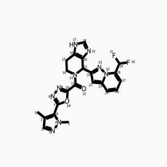 Cc1cnn(C)c1-c1nnc(C(=O)N2CCc3[nH]cnc3C2c2cc3cccc(C(F)F)n3n2)o1